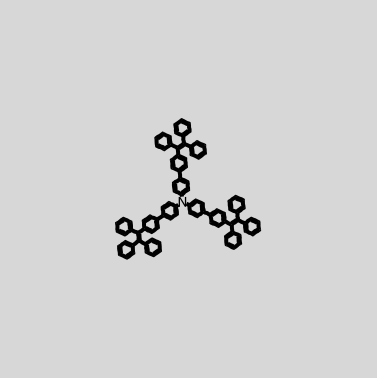 c1ccc(C(=C(c2ccccc2)c2ccc(-c3ccc(N(c4ccc(-c5ccc(C(=C(c6ccccc6)c6ccccc6)c6ccccc6)cc5)cc4)c4ccc(-c5ccc(C(=C(c6ccccc6)c6ccccc6)c6ccccc6)cc5)cc4)cc3)cc2)c2ccccc2)cc1